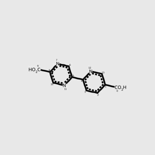 O=C(O)c1ccc(-c2cnc(C(=O)O)cn2)nc1